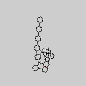 CC1(C)c2cc(-c3ccc(-c4ccc(-c5ccccc5)cc4)cc3)ccc2-c2ccc(N(c3ccccc3-c3ccccc3)c3cccc4c3sc3ccccc34)cc21